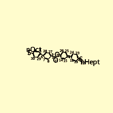 CCCCCCCCSc1ccc(-c2ccc(C(=O)Oc3ccc(-c4ccc(SCCCCCCC)cc4)cc3)cc2)cc1